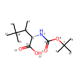 CC([C@H](NC(=O)OC(C)(C)C)C(=O)O)C(C)(C)C